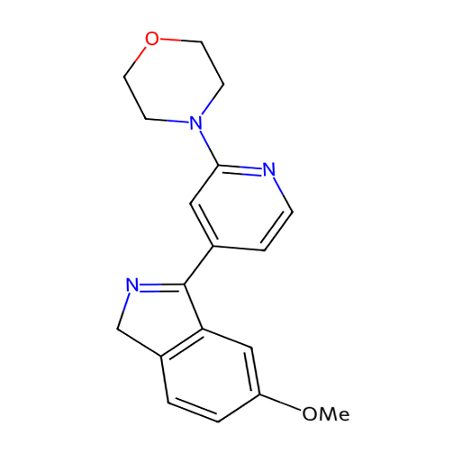 COc1ccc2c(c1)C(c1ccnc(N3CCOCC3)c1)=NC2